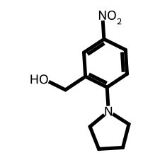 O=[N+]([O-])c1ccc(N2CCCC2)c(CO)c1